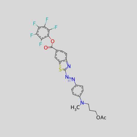 CC(=O)OCCCN(C)c1ccc(/N=N/c2nc3ccc(C(=O)Oc4c(F)c(F)c(F)c(F)c4F)cc3s2)cc1